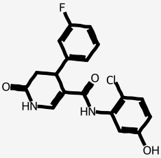 O=C1CC(c2cccc(F)c2)C(C(=O)Nc2cc(O)ccc2Cl)=CN1